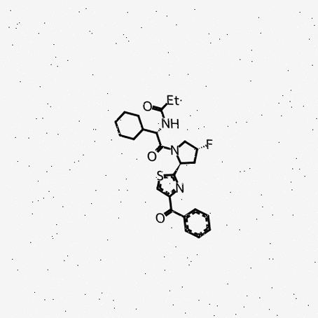 C[CH]C(=O)N[C@H](C(=O)N1C[C@H](F)C[C@H]1c1nc(C(=O)c2ccccc2)cs1)C1CCCCC1